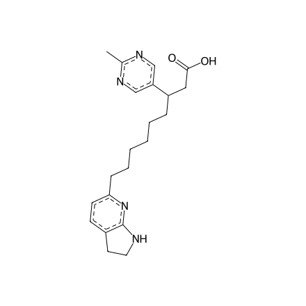 Cc1ncc(C(CCCCCCc2ccc3c(n2)NCC3)CC(=O)O)cn1